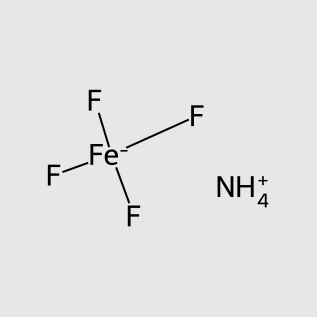 [F][Fe-]([F])([F])[F].[NH4+]